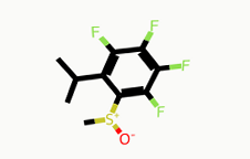 CC(C)c1c(F)c(F)c(F)c(F)c1[S+](C)[O-]